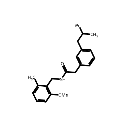 COc1cccc(C)c1CNC(=O)Cc1cccc(CC(C)C(C)C)c1